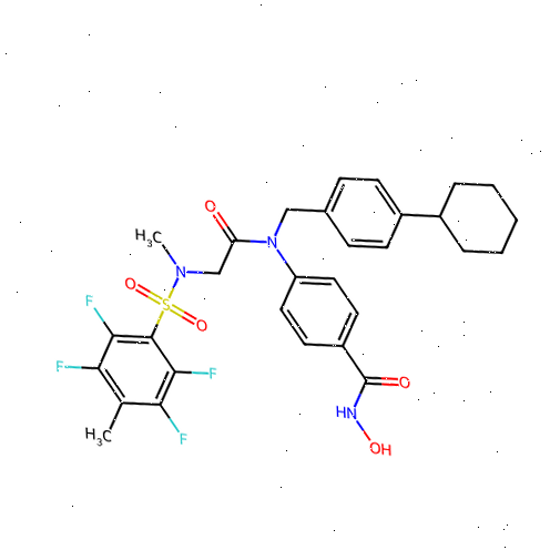 Cc1c(F)c(F)c(S(=O)(=O)N(C)CC(=O)N(Cc2ccc(C3CCCCC3)cc2)c2ccc(C(=O)NO)cc2)c(F)c1F